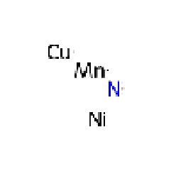 [Cu].[Mn].[N].[Ni]